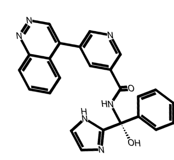 O=C(N[C@@](O)(c1ccccc1)c1ncc[nH]1)c1cncc(-c2cnnc3ccccc23)c1